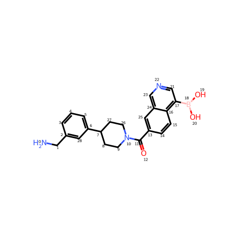 NCc1cccc(C2CCN(C(=O)c3ccc4c(B(O)O)cncc4c3)CC2)c1